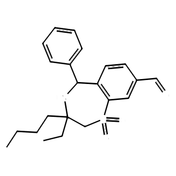 CCCCC1(CC)CS(=O)(=O)c2cc(C=O)ccc2C(c2ccccc2)N1